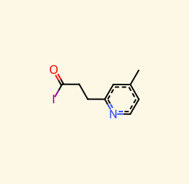 Cc1ccnc(CCC(=O)I)c1